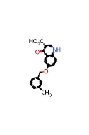 Cc1cccc(COc2ccc3[nH]cc(C(=O)O)c(=O)c3c2)c1